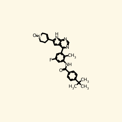 Cc1c(NC(=O)c2ccc(C(C)(C)C)cc2)cc(F)cc1-c1ncnc2[nH]c(C3=CC[S+]([O-])CC3)cc12